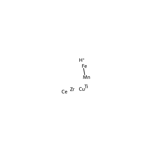 [Ce].[Cu].[H+].[Mn][Fe].[Ti].[Zr]